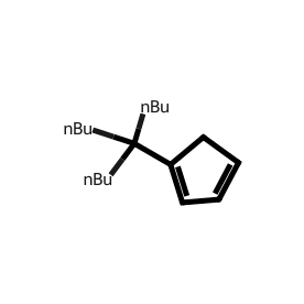 CCCCC(CCCC)(CCCC)C1=CC=CC1